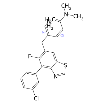 C=C(/C=C\C(=C/N)Cc1cc2scnc2c(-c2cccc(Cl)c2)c1F)N(C)C